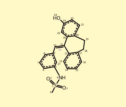 CS(=O)(=O)Nc1cccc(/C=C2\c3ccccc3CCc3ccc(O)cc32)c1